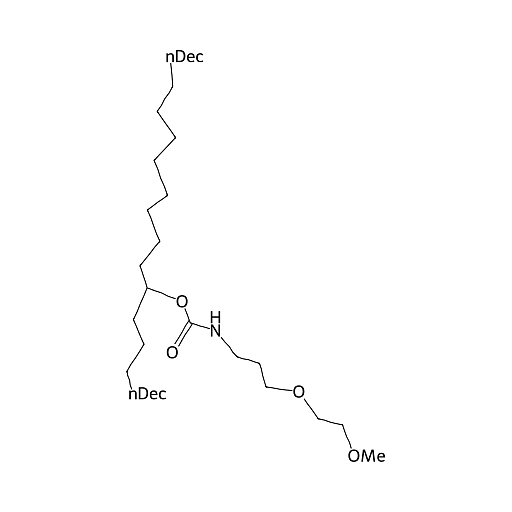 CCCCCCCCCCCCCCCCCCC(CCCCCCCCCCCCC)OC(=O)NCCCOCCOC